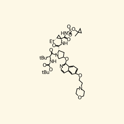 CC[C@@H]1C[C@]1(NC(=O)[C@@H]1C[C@@H](Oc2nccc3cc(OCCN4CCOCC4)ccc23)CN1C(=O)[C@@H](NC(=O)OC(C)(C)C)C(C)(C)C)C(=O)NS(=O)(=O)OC1(C)CC1